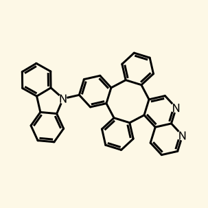 c1ccc2c(c1)-c1ccc(-n3c4ccccc4c4ccccc43)cc1-c1ccccc1-c1c-2cnc2ncccc12